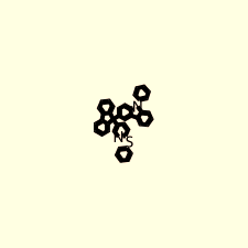 c1ccc(Sc2ccc(C3(c4ccc5c(c4)c4ccccc4n5-c4ccccc4)c4ccccc4-c4ccccc43)cn2)cc1